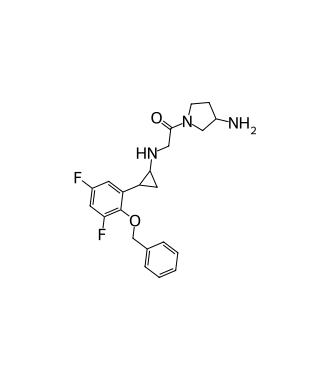 NC1CCN(C(=O)CNC2CC2c2cc(F)cc(F)c2OCc2ccccc2)C1